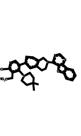 CC1(C)CCN(c2c(-c3ccc4c(c3)CCN(c3ncnc5c3oc3ccccc35)C4)cnc(Cl)c2CC(=O)O)CC1